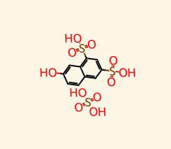 O=S(=O)(O)O.O=S(=O)(O)c1cc(S(=O)(=O)O)c2cc(O)ccc2c1